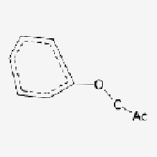 [CH2]C(=O)COc1ccccc1